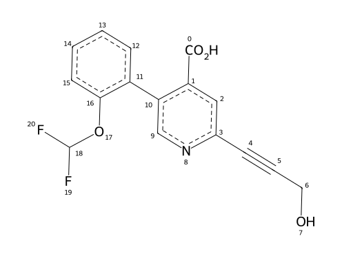 O=C(O)c1cc(C#CCO)ncc1-c1ccccc1OC(F)F